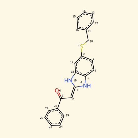 O=C(/C=C1/Nc2ccc(SCc3ccccc3)cc2N1)c1ccccc1